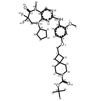 COc1cc(OCC2CC3(CCN(C(=O)OC(C)(C)C)CC3)C2)ccc1Nc1ncc2c(n1)N(C1CCCC1)CC(F)(F)C(=O)N2C